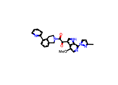 COc1cnc(-n2ccc(C)n2)c2[nH]cc(C(=O)C(=O)N3CCc4c(cccc4-c4ccccn4)C3)c12